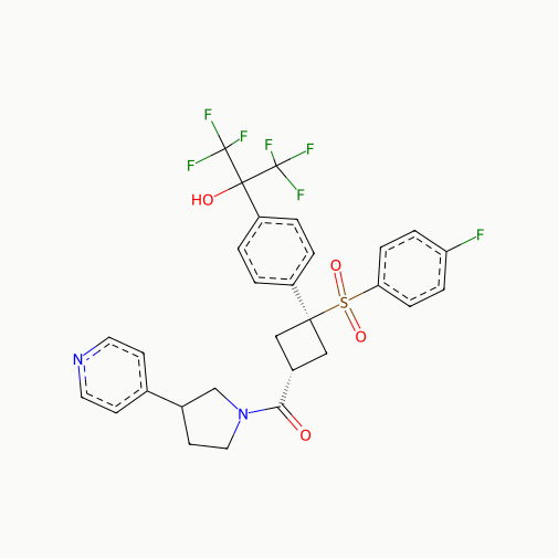 O=C([C@H]1C[C@](c2ccc(C(O)(C(F)(F)F)C(F)(F)F)cc2)(S(=O)(=O)c2ccc(F)cc2)C1)N1CCC(c2ccncc2)C1